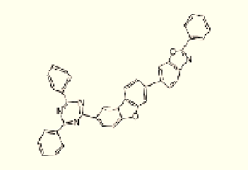 c1ccc(-c2nc(-c3ccccc3)nc(-c3ccc4oc5cc(-c6ccc7nc(-c8ccccc8)oc7c6)ccc5c4c3)n2)cc1